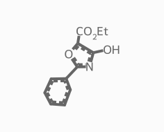 CCOC(=O)c1oc(-c2ccccc2)nc1O